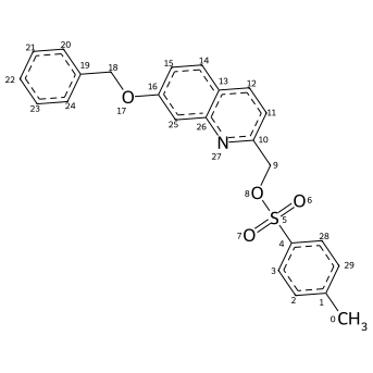 Cc1ccc(S(=O)(=O)OCc2ccc3ccc(OCc4ccccc4)cc3n2)cc1